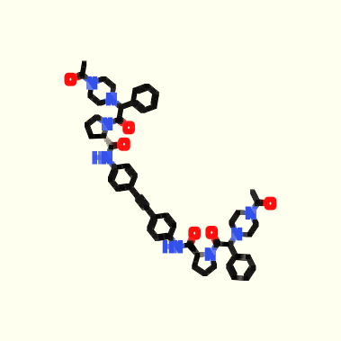 CC(=O)N1CCN(C(C(=O)N2CCC[C@H]2C(=O)Nc2ccc(C#Cc3ccc(NC(=O)[C@@H]4CCCN4C(=O)C(c4ccccc4)N4CCN(C(C)=O)CC4)cc3)cc2)c2ccccc2)CC1